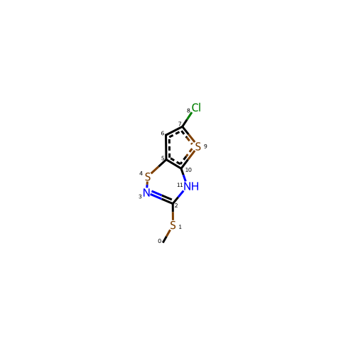 CSC1=NSc2cc(Cl)sc2N1